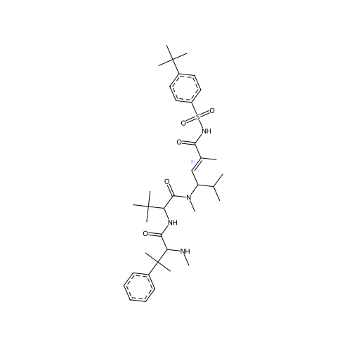 CNC(C(=O)NC(C(=O)N(C)C(/C=C(\C)C(=O)NS(=O)(=O)c1ccc(C(C)(C)C)cc1)C(C)C)C(C)(C)C)C(C)(C)c1ccccc1